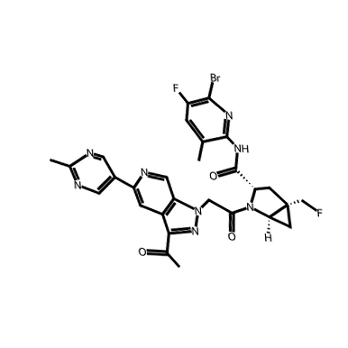 CC(=O)c1nn(CC(=O)N2[C@H](C(=O)Nc3nc(Br)c(F)cc3C)C[C@@]3(CF)C[C@@H]23)c2cnc(-c3cnc(C)nc3)cc12